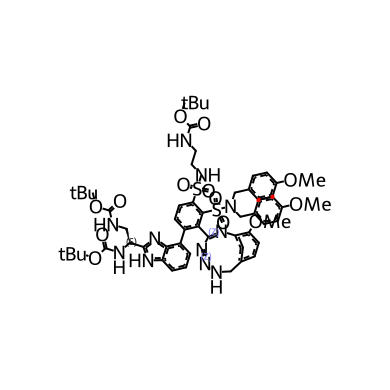 COc1ccc(CN(Cc2ccc(OC)cc2)S(=O)(=O)c2c(S(=O)(=O)NCCNC(=O)OC(C)(C)C)ccc(-c3cccc4[nH]c([C@H](CNC(=O)OC(C)(C)C)NC(=O)OC(C)(C)C)nc34)c2C2=N/c3cc(ccc3OC)CN/N=N\2)cc1